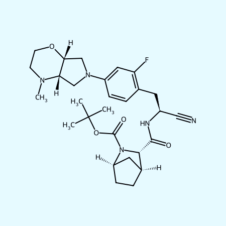 CN1CCO[C@@H]2CN(c3ccc(C[C@@H](C#N)NC(=O)[C@@H]4[C@H]5CC[C@H](C5)N4C(=O)OC(C)(C)C)c(F)c3)C[C@@H]21